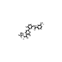 Cc1ccc(NC(=O)c2cccc(C(F)(F)F)c2)cc1-c1ccc(C(=O)[C@H](C)O[Si](C)(C)C(C)(C)C)c(F)n1